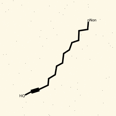 CCCCCCCCCCCCCCCCCCCCC#CO